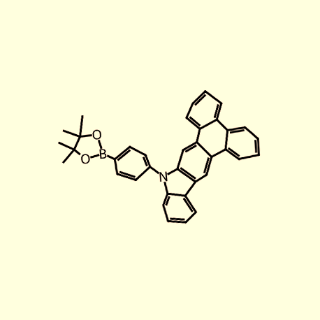 CC1(C)OB(c2ccc(-n3c4ccccc4c4cc5c6ccccc6c6ccccc6c5cc43)cc2)OC1(C)C